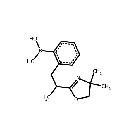 CC(Cc1ccccc1B(O)O)C1=NC(C)(C)CO1